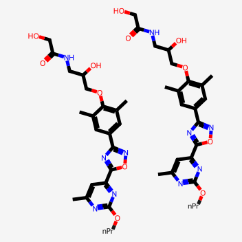 CCCOc1nc(C)cc(-c2nc(-c3cc(C)c(OCC(O)CNC(=O)CO)c(C)c3)no2)n1.CCCOc1nc(C)cc(-c2nc(-c3cc(C)c(OCC(O)CNC(=O)CO)c(C)c3)no2)n1